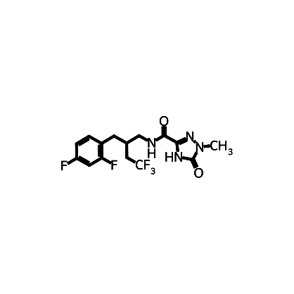 Cn1nc(C(=O)NCC(Cc2ccc(F)cc2F)CC(F)(F)F)[nH]c1=O